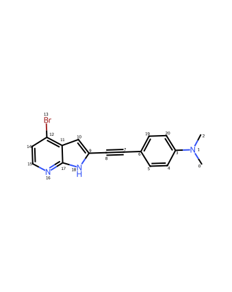 CN(C)c1ccc(C#Cc2cc3c(Br)ccnc3[nH]2)cc1